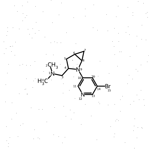 CN(C)CC1CC2CC2N1c1cncc(Br)c1